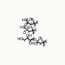 CC(O)C(O)CO.O=S(=O)(O)CC(F)(F)F.O=S(=O)(O)CC(F)(F)F.O=S(=O)(O)CC(F)(F)F